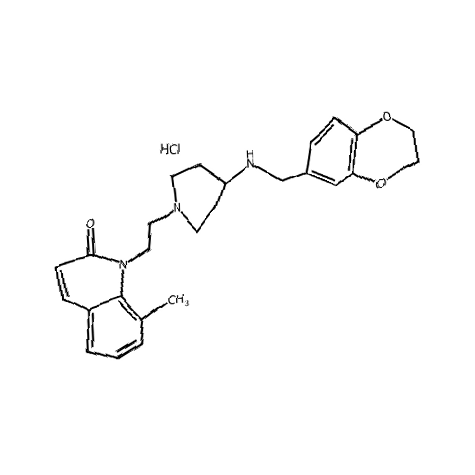 Cc1cccc2ccc(=O)n(CCN3CCC(NCc4ccc5c(c4)OCCO5)CC3)c12.Cl